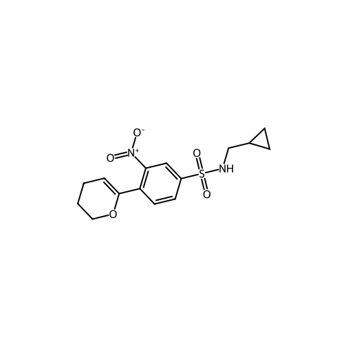 O=[N+]([O-])c1cc(S(=O)(=O)NCC2CC2)ccc1C1=CCCCO1